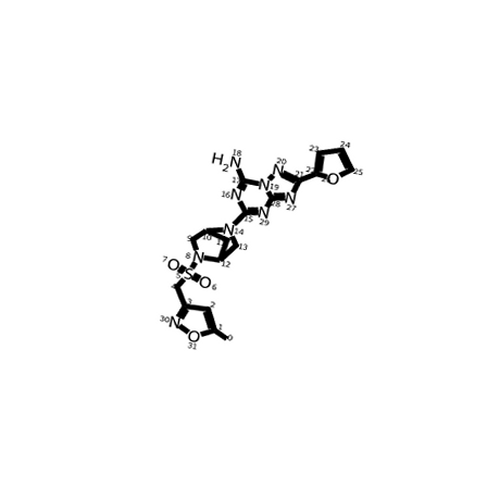 Cc1cc(CS(=O)(=O)N2CC3CC2CN3c2nc(N)n3nc(-c4ccco4)nc3n2)no1